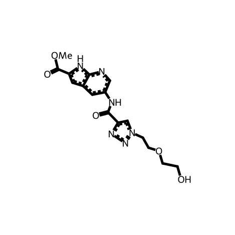 COC(=O)c1cc2cc(NC(=O)c3cn(CCOCCO)nn3)cnc2[nH]1